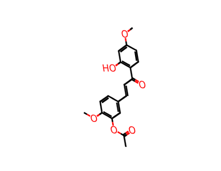 COc1ccc(C(=O)/C=C/c2ccc(OC)c(OC(C)=O)c2)c(O)c1